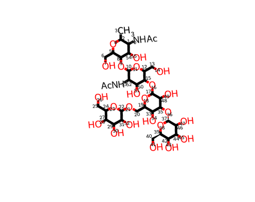 CC(=O)NC1C(C)OC(CO)C(OC2OC(CO)C(OC3OC(COC4OC(CO)C(O)C(O)C4O)C(O)C(O[C@H]4O[C@H](CO)C(O)C(O)C4O)C3O)C(O)C2NC(C)=O)C1O